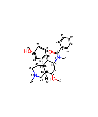 COC1C[C@H](N(C)C(=O)c2ccccc2)C[C@]2(c3cccc(O)c3)CCN(C)C[C@@H]12